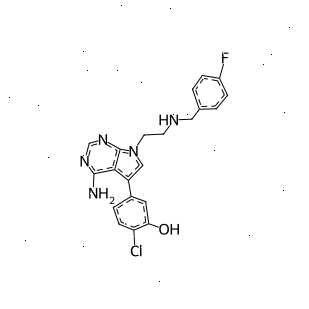 Nc1ncnc2c1c(-c1ccc(Cl)c(O)c1)cn2CCNCc1ccc(F)cc1